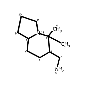 CC1(C)C(CN)CCC2CCCN21